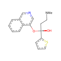 CNCC[C@@](O)(Oc1cncc2ccccc12)c1cccs1